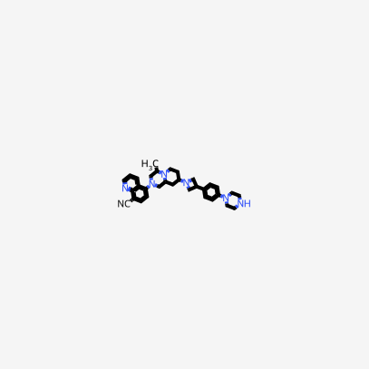 CC1CN(c2ccc(C#N)c3ncccc23)CC2CC(N3CC(c4ccc(N5CCNCC5)cc4)C3)CCN12